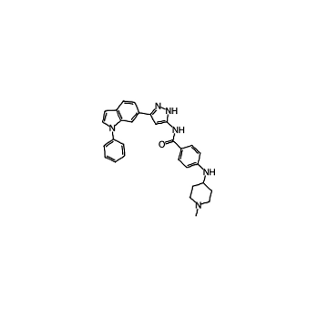 CN1CCC(Nc2ccc(C(=O)Nc3cc(-c4ccc5ccn(-c6ccccc6)c5c4)n[nH]3)cc2)CC1